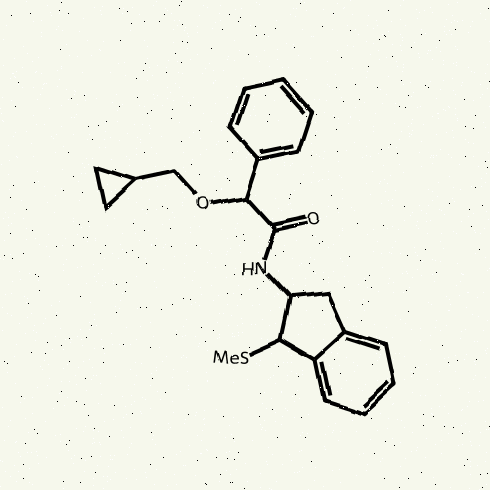 CSC1c2ccccc2CC1NC(=O)C(OCC1CC1)c1ccccc1